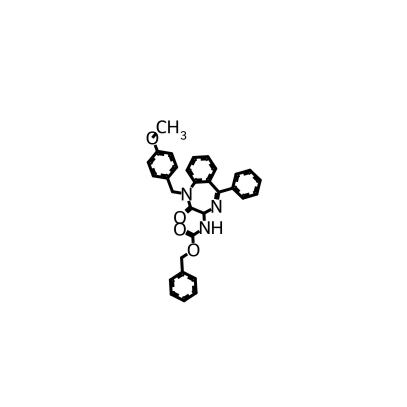 COc1ccc(CN2C(=O)C(NC(=O)OCc3ccccc3)N=C(c3ccccc3)c3ccccc32)cc1